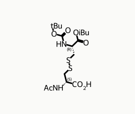 CC(=O)N[C@H](CSSC[C@H](NC(=O)OC(C)(C)C)C(=O)OCC(C)C)C(=O)O